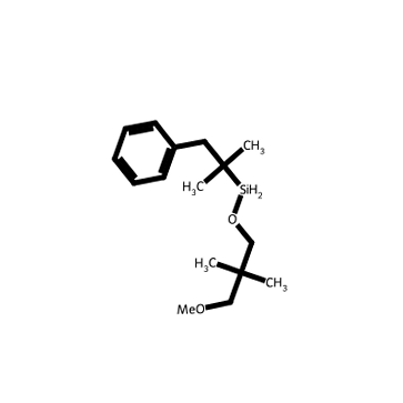 COCC(C)(C)CO[SiH2]C(C)(C)Cc1ccccc1